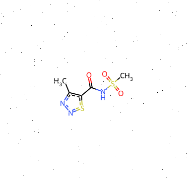 Cc1nnsc1C(=O)NS(C)(=O)=O